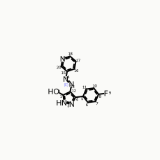 Oc1[nH]nc(-c2ccc(F)cc2)c1/N=N/c1cccnc1